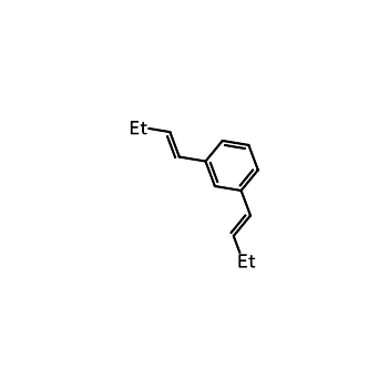 CCC=Cc1cccc(C=CCC)c1